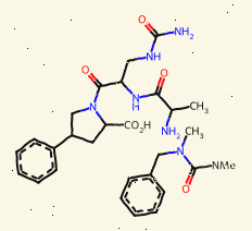 CC(N)C(=O)NC(CNC(N)=O)C(=O)N1CC(c2ccccc2)CC1C(=O)O.CNC(=O)N(C)Cc1ccccc1